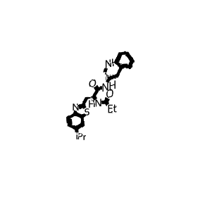 CCC(=O)N[C@@H](Cc1nc2ccc(C(C)C)cc2s1)C(=O)N[C@H](CN)Cc1ccccc1